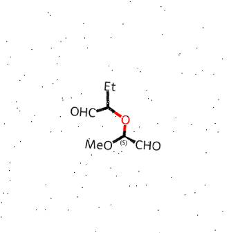 CCC(C=O)O[C@@H](C=O)OC